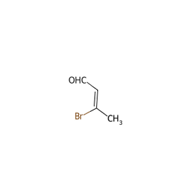 CC(Br)=CC=O